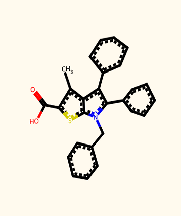 Cc1c(C(=O)O)sc2c1c(-c1ccccc1)c(-c1ccccc1)n2Cc1ccccc1